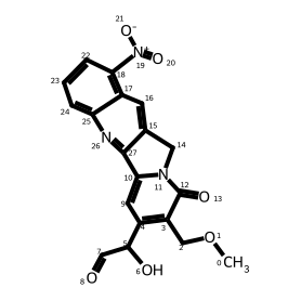 COCc1c(C(O)C=O)cc2n(c1=O)Cc1cc3c([N+](=O)[O-])cccc3nc1-2